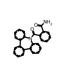 NC(=O)c1ccccc1C(=O)N1c2ccccc2-c2ccccc2-c2ccccc21